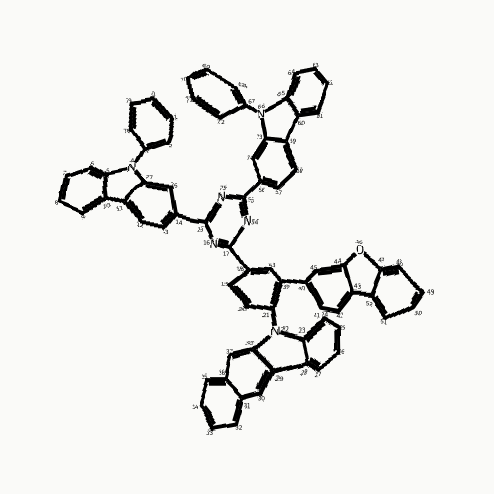 c1ccc(-n2c3ccccc3c3ccc(-c4nc(-c5ccc(-n6c7ccccc7c7cc8ccccc8cc76)c(-c6ccc7c(c6)oc6ccccc67)c5)nc(-c5ccc6c7ccccc7n(-c7ccccc7)c6c5)n4)cc32)cc1